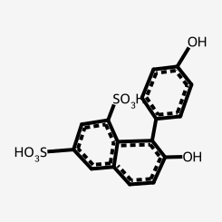 O=S(=O)(O)c1cc(S(=O)(=O)O)c2c(-c3ccc(O)cc3)c(O)ccc2c1